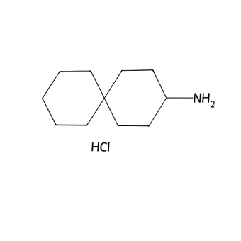 Cl.NC1CCC2(CCCCC2)CC1